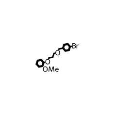 COc1ccccc1OCCCOCc1ccc(Br)cc1